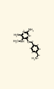 CNc1c(N)nc(N)nc1OCc1ccc(CN)cc1